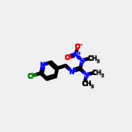 CN(C)C(=NCc1ccc(Cl)nc1)N(C)[N+](=O)[O-]